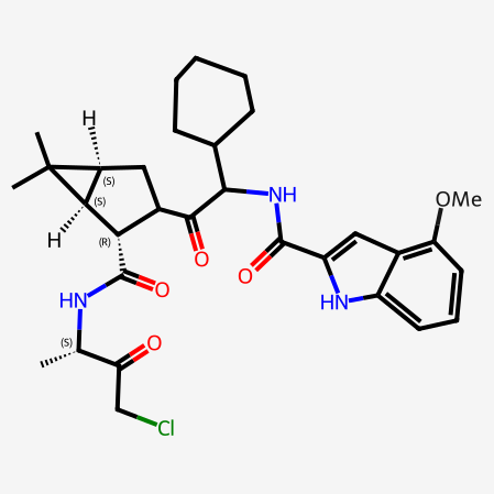 COc1cccc2[nH]c(C(=O)NC(C(=O)C3C[C@H]4[C@@H]([C@H]3C(=O)N[C@@H](C)C(=O)CCl)C4(C)C)C3CCCCC3)cc12